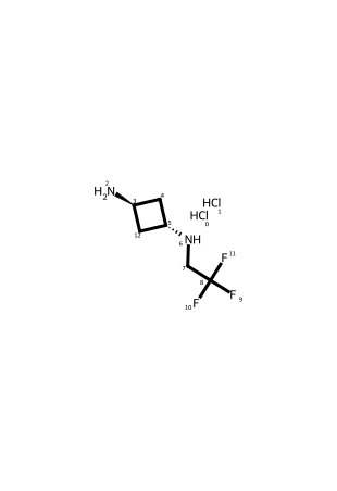 Cl.Cl.N[C@H]1C[C@H](NCC(F)(F)F)C1